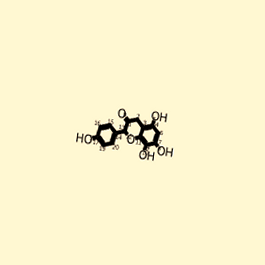 O=C1Cc2c(O)cc(O)c(O)c2OC1c1ccc(O)cc1